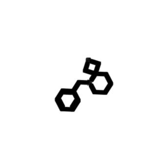 c1ccc(CN2CCCCC23COC3)cc1